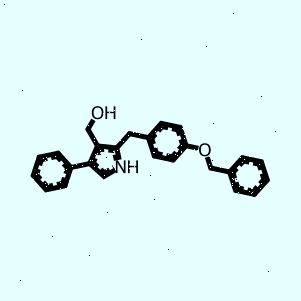 OCc1c(-c2ccccc2)c[nH]c1Cc1ccc(OCc2ccccc2)cc1